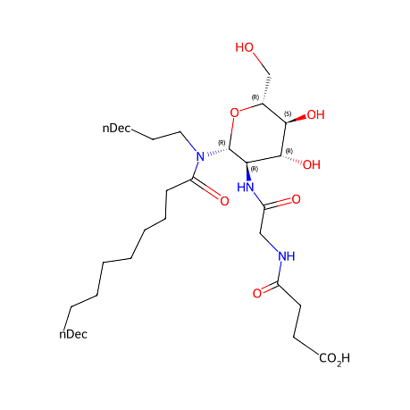 CCCCCCCCCCCCCCCCCC(=O)N(CCCCCCCCCCCC)[C@@H]1O[C@H](CO)[C@@H](O)[C@H](O)[C@H]1NC(=O)CNC(=O)CCC(=O)O